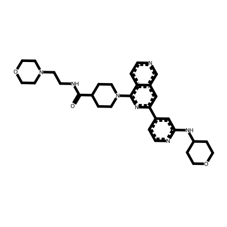 O=C(NCCN1CCOCC1)C1CCN(c2nc(-c3ccnc(NC4CCOCC4)c3)cc3cnccc23)CC1